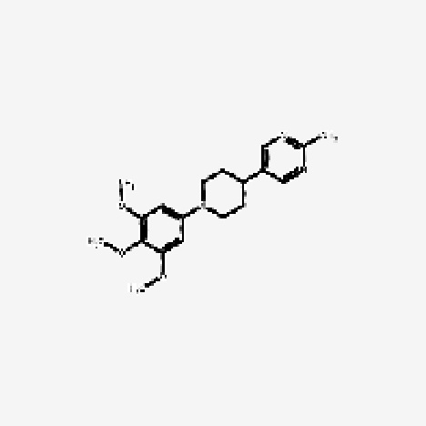 COc1cc(N2CCC(c3cnc(N)nc3)CC2)cc(OC)c1OC